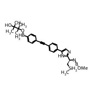 COB=N[C@@H](C[SiH2]C)c1ncc(-c2ccc(C#Cc3ccc(BOC(C)(C)C(C)(C)O)cc3)cc2)[nH]1